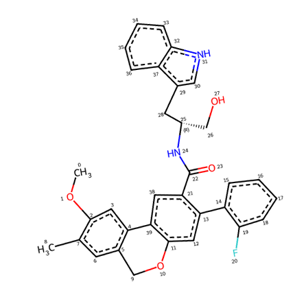 COc1cc2c(cc1C)COc1cc(-c3ccccc3F)c(C(=O)N[C@@H](CO)Cc3c[nH]c4ccccc34)cc1-2